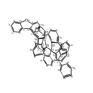 c1ccc(N(c2ccc3oc4ccccc4c3c2)c2cccc3c2C2(c4ccccc4-3)c3c(cccc3N(c3ccccc3)c3ccccc3)-c3oc4ccccc4c32)cc1